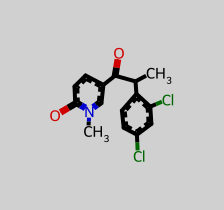 CC(C(=O)c1ccc(=O)n(C)c1)c1ccc(Cl)cc1Cl